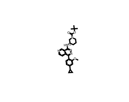 COc1cc(C2CC2)ccc1-c1nnc(N[C@@H]2CCCN(C(=O)OC(C)(C)C)C2)c2cnccc12